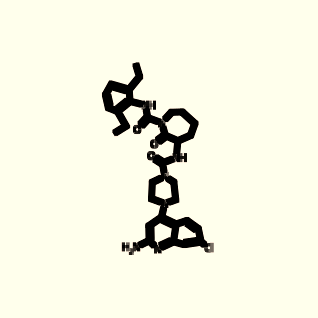 CCc1cccc(CC)c1NC(=O)N1CCCCC(NC(=O)N2CCN(c3cc(N)nc4cc(Cl)ccc34)CC2)C1=O